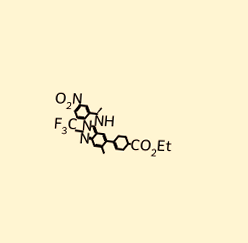 CCOC(=O)C1CC=C(c2cc3c(N[C@H](C)c4cc([N+](=O)[O-])cc(C(F)(F)F)c4)nc(C)nc3cc2C)CC1